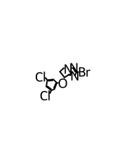 Clc1cc(Cl)cc(OC2CCn3nc(Br)nc32)c1